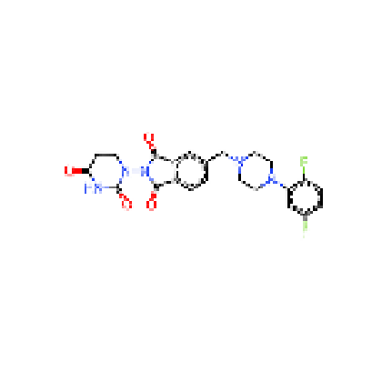 O=C1CCN(N2C(=O)c3ccc(CN4CCN(c5cc(F)ccc5F)CC4)cc3C2=O)C(=O)N1